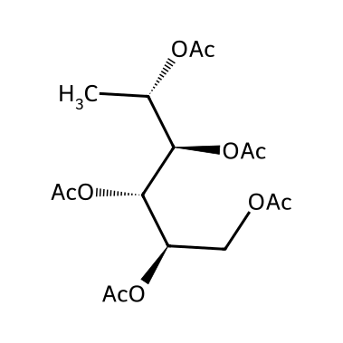 CC(=O)OC[C@@H](OC(C)=O)[C@H](OC(C)=O)[C@H](OC(C)=O)[C@H](C)OC(C)=O